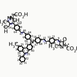 CC1=NN(CC(=O)O)C(=O)/C1=C/c1ccc(/C=C/c2ccc(N(c3ccc(/C=C(/c4ccccc4)c4ccc(C)cc4)cc3)c3ccc(/C=C/c4ccc(/C=C(CO)/C(C)=N\N(C)CC(=O)O)cc4)cc3)cc2)cc1